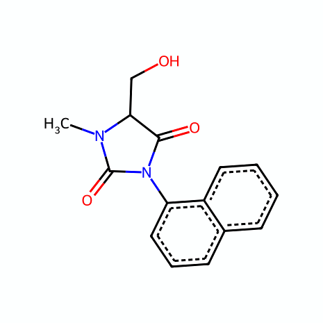 CN1C(=O)N(c2cccc3ccccc23)C(=O)C1CO